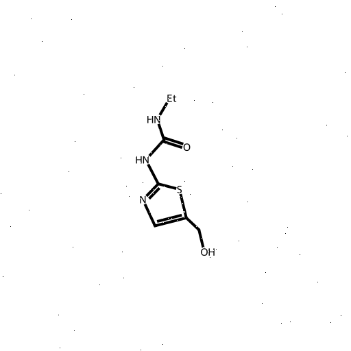 CCNC(=O)Nc1ncc(CO)s1